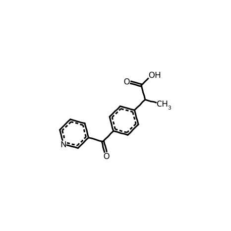 CC(C(=O)O)c1ccc(C(=O)c2cccnc2)cc1